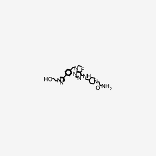 CCN(Cc1ccc(-c2cnn(CCO)c2)cc1)c1ncnc(NCC2CCN(CC(N)=O)CC2)c1F